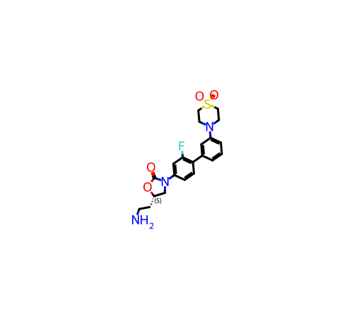 NCC[C@H]1CN(c2ccc(-c3cccc(N4CCS(=O)(=O)CC4)c3)c(F)c2)C(=O)O1